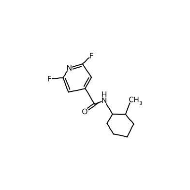 CC1CCCCC1NC(=O)c1cc(F)nc(F)c1